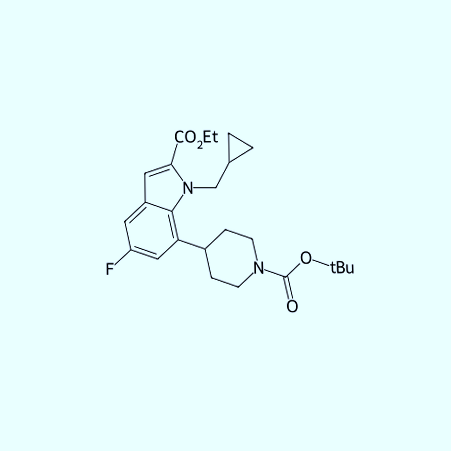 CCOC(=O)c1cc2cc(F)cc(C3CCN(C(=O)OC(C)(C)C)CC3)c2n1CC1CC1